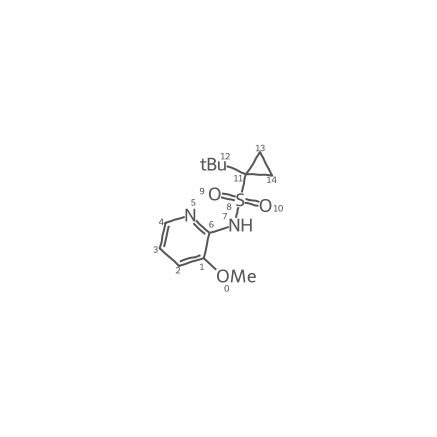 COc1cccnc1NS(=O)(=O)C1(C(C)(C)C)CC1